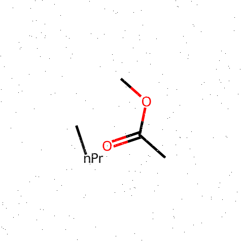 CCCC.COC(C)=O